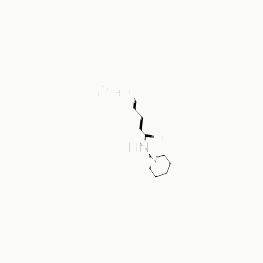 CCCCC/C=C/C=C/C(=O)NN1CCCCC1